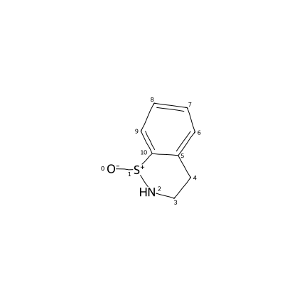 [O-][S+]1NCCc2ccccc21